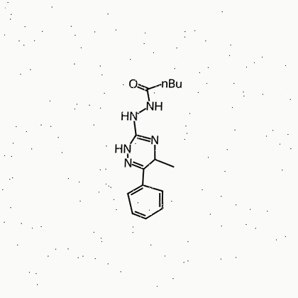 CCCCC(=O)NNC1=NC(C)C(c2ccccc2)=NN1